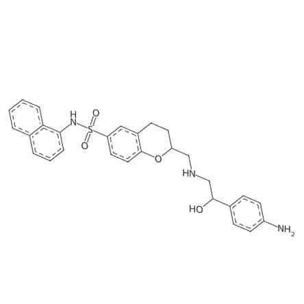 Nc1ccc(C(O)CNCC2CCc3cc(S(=O)(=O)Nc4cccc5ccccc45)ccc3O2)cc1